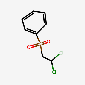 O=S(=O)(CC(Cl)Cl)c1ccccc1